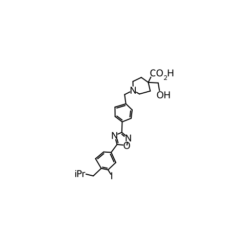 CC(C)Cc1ccc(-c2nc(-c3ccc(CN4CCC(CO)(C(=O)O)CC4)cc3)no2)cc1I